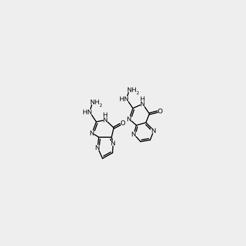 NNc1nc2nccnc2c(=O)[nH]1.NNc1nc2nccnc2c(=O)[nH]1